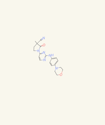 CC1(C#N)CCN(c2ccnc(Nc3ccc(N4CCOCC4)cc3)n2)C1=O